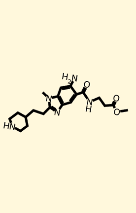 COC(=O)CCNC(=O)c1cc2nc(CCC3CCNCC3)n(C)c2cc1N